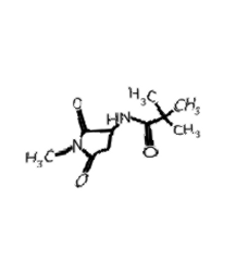 CN1C(=O)CC(NC(=O)C(C)(C)C)C1=O